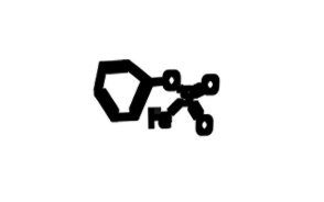 O=[S](=O)([Fe])Oc1ccccc1